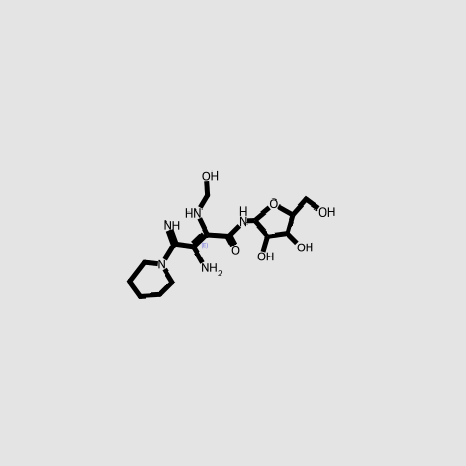 N=C(/C(N)=C(\NCO)C(=O)NC1OC(CO)C(O)C1O)N1CCCCC1